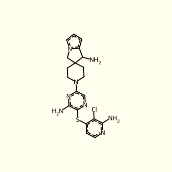 Nc1nc(N2CCC3(CC2)Cn2cccc2C3N)cnc1Sc1ccnc(N)c1Cl